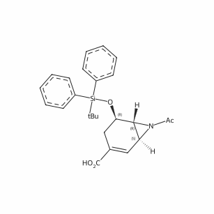 CC(=O)N1[C@H]2[C@H](O[Si](c3ccccc3)(c3ccccc3)C(C)(C)C)CC(C(=O)O)=C[C@@H]21